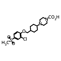 CS(=O)(=O)c1ccc(OCC2CCC(N3CCN(C(=O)O)CC3)CC2)c(Cl)c1